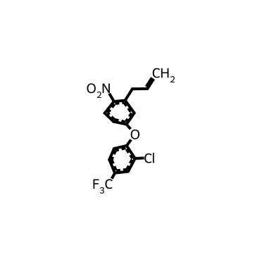 C=CCc1cc(Oc2ccc(C(F)(F)F)cc2Cl)ccc1[N+](=O)[O-]